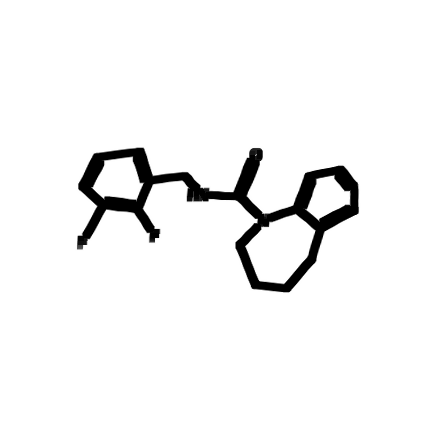 O=C(NCc1cccc(F)c1F)N1CCCCc2ccccc21